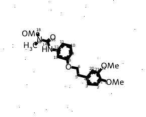 COc1ccc(CCOc2cccc(NC(=O)N(C)OC)c2)cc1OC